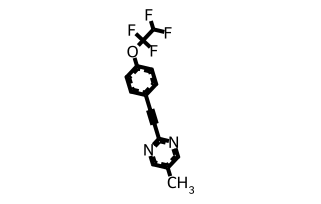 Cc1cnc(C#Cc2ccc(OC(F)(F)C(F)F)cc2)nc1